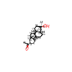 CC(=O)[C@@H]1CCC[C@H]2[C@@H]3CC[C@@H]4C[C@](C)(O)CC[C@@H]4[C@H]3CC[C@]2(C)C1